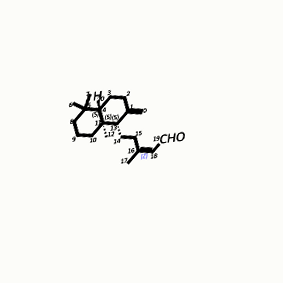 C=C1CC[C@H]2C(C)(C)CCC[C@]2(C)[C@H]1CC/C(C)=C\C=O